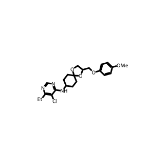 CCc1ncnc(NC2CCC3(CC2)OCC(COc2ccc(OC)cc2)O3)c1Cl